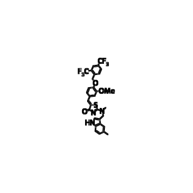 COc1cc(C=C2SC(N(C)Cc3c[nH]c4ccc(C)cc34)=NC2=O)ccc1OCc1ccc(C(F)(F)F)cc1C(F)(F)F